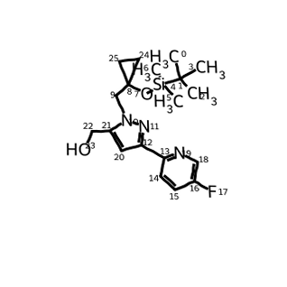 CC(C)(C)[Si](C)(C)OC1(Cn2nc(-c3ccc(F)cn3)cc2CO)CC1